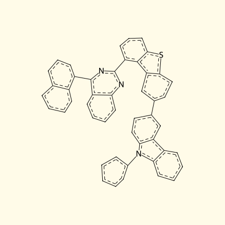 c1ccc(-n2c3ccccc3c3cc(-c4ccc5sc6cccc(-c7nc(-c8cccc9ccccc89)c8ccccc8n7)c6c5c4)ccc32)cc1